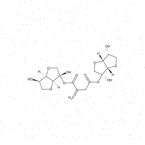 C=C(CC(=O)O[C@@]1(O)CO[C@@H]2[C@H](O)CO[C@@H]21)C(=O)O[C@@]1(O)CO[C@@H]2[C@H](O)CO[C@@H]21